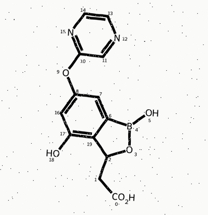 O=C(O)CC1OB(O)c2cc(Oc3cnccn3)cc(O)c21